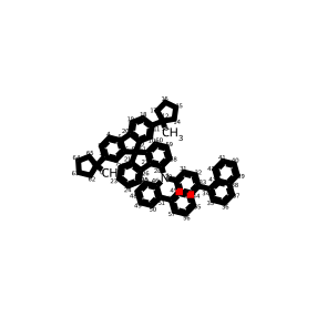 CC1(c2ccc3c(c2)C2(c4cc(C5(C)CCCC5)ccc4-3)c3ccccc3-c3c(N(c4ccc(-c5cccc6ccccc56)cc4)c4ccccc4-c4ccccc4)cccc32)CCCC1